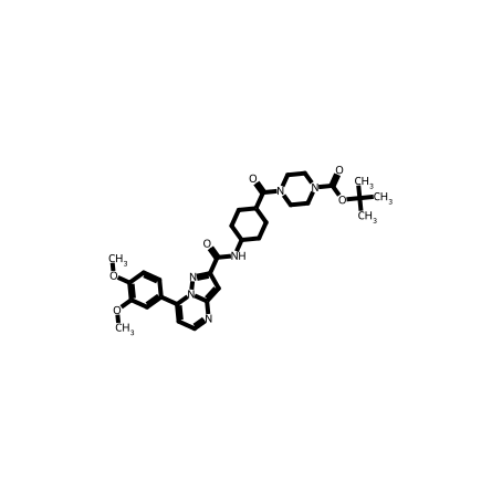 COc1ccc(-c2ccnc3cc(C(=O)NC4CCC(C(=O)N5CCN(C(=O)OC(C)(C)C)CC5)CC4)nn23)cc1OC